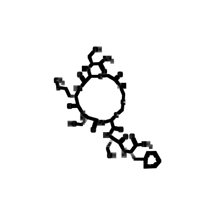 CSCC[C@@H]1NC(=O)C(N[C@@H](CO)C(N)=O)CCC(=O)NCCCCC(C(=O)N[C@@H](CO)C(=O)N[C@@H](Cc2ccccc2)C(N)=O)NC(=O)[C@H](CO)NC1=O